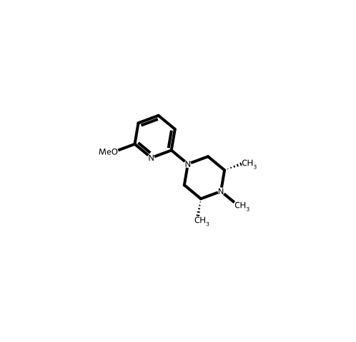 COc1cccc(N2C[C@@H](C)N(C)[C@@H](C)C2)n1